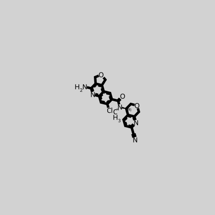 CN(C(=O)c1cc2c3c(c(N)nc2cc1Cl)COC3)[C@H]1COCc2nc(C#N)ccc21